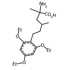 CCOc1cc(OCC)c(CCC(C)CC(C)(N)C(=O)O)c(OCC)c1